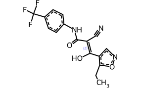 CCc1oncc1/C(O)=C(\C#N)C(=O)Nc1ccc(C(F)(F)F)cc1